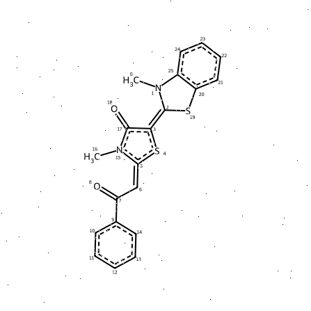 CN1/C(=c2/s/c(=C/C(=O)c3ccccc3)n(C)c2=O)Sc2ccccc21